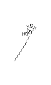 CCCCCCCCCCCCCCCCCCC(CC1=CC(C(C)(C)C)C(=O)C(C(C)(C)C)=C1)C(=O)O